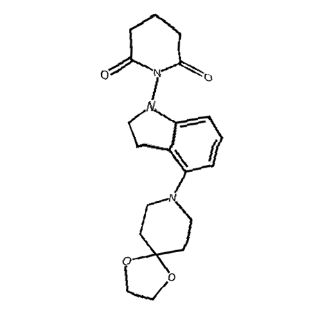 O=C1CCCC(=O)N1N1CCc2c(N3CCC4(CC3)OCCO4)cccc21